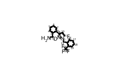 NC(=O)c1ccccc1-c1ccn(Cc2c(F)cccc2C(F)(F)F)n1